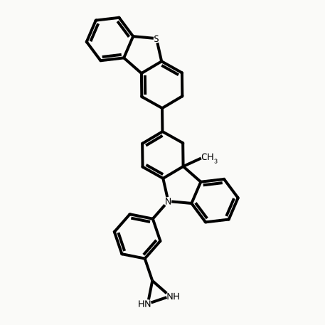 CC12CC(C3C=c4c(sc5ccccc45)=CC3)=CC=C1N(c1cccc(C3NN3)c1)c1ccccc12